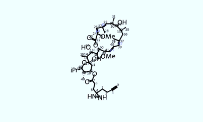 C#CCCC1(CCC(=O)O[C@@H]2C[C@](O)([C@@H](C)[C@H](O)[C@H](C)[C@H]3OC(=O)/C(OC)=C/C(C)=C/[C@@H](C)[C@@H](O)[C@@H](C)C/C(C)=C/C=C/[C@@H]3OC)O[C@H](C(C)C)[C@H]2C)NN1